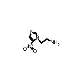 NCCn1cncc1[N+](=O)[O-]